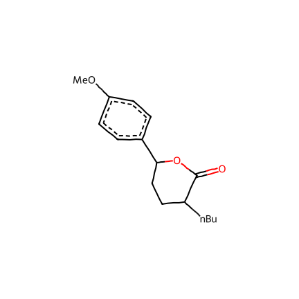 CCCCC1CCC(c2ccc(OC)cc2)OC1=O